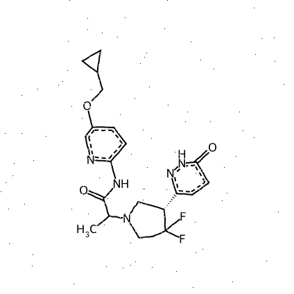 CC(C(=O)Nc1ccc(OCC2CC2)cn1)N1CCC(F)(F)[C@@H](c2ccc(=O)[nH]n2)C1